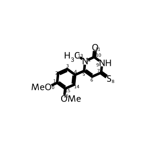 COc1ccc(-c2cc(=S)[nH]c(=O)n2C)cc1OC